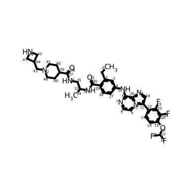 CCc1cc(Nc2nccn3c(-c4ccc(OC(F)F)c(F)c4F)cnc23)ccc1C(=O)NC(C)CNC(=O)C1CCN(CC2CNC2)CC1